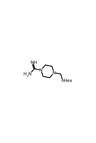 CCCCCCCN1CCN(C(=N)N)CC1